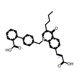 CCCCc1cn(Cc2ccc(-c3ccccc3C(=O)O)cc2)c2cc(/C=C/C(=O)O)ccc2c1=O